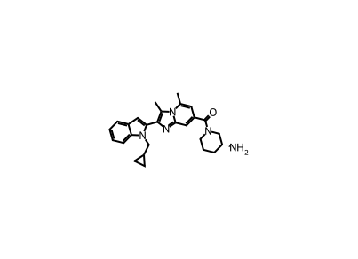 Cc1cc(C(=O)N2CCC[C@@H](N)C2)cc2nc(-c3cc4ccccc4n3CC3CC3)c(C)n12